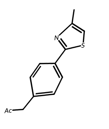 CC(=O)Cc1ccc(-c2nc(C)cs2)cc1